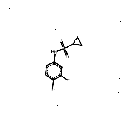 O=S(=O)(Nc1ccc(Br)c(F)c1)C1CC1